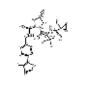 Cc1ncsc1-c1ccc(CNC(=O)C2C[C@@H](O)CN2C(=O)[C@@H](NC(=O)C2(F)CC2)C(C)(C)C)cc1